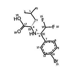 CC(C)C[C@H](N[C@@H](c1ccc(Br)cc1)C(F)F)C(=O)O